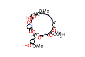 CC(=O)O.CO[C@H]1C[C@@H]2CC[C@@H](C)[C@@](O)(O2)C(=O)C(=O)N2CCCC[C@H]2C(=O)O[C@H]([C@H](C)C[C@@H]2CC[C@@H](O)[C@H](OC)C2)CC(=O)[C@H](C)/C=C(\C)[C@@H](O)[C@@H](OC)C(=O)[C@H](C)C[C@H](C)/C=C/C=C/C=C/1C